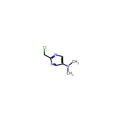 CN(C)c1cnc(CCl)nc1